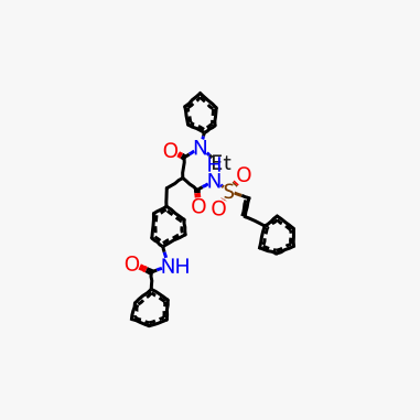 CCN(C(=O)C(Cc1ccc(NC(=O)c2ccccc2)cc1)C(=O)NS(=O)(=O)/C=C/c1ccccc1)c1ccccc1